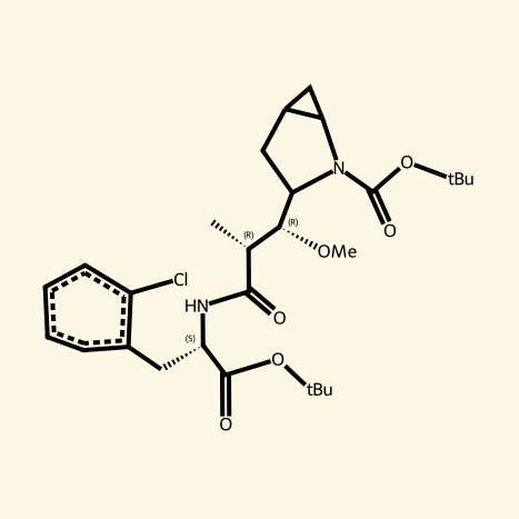 CO[C@@H](C1CC2CC2N1C(=O)OC(C)(C)C)[C@@H](C)C(=O)N[C@@H](Cc1ccccc1Cl)C(=O)OC(C)(C)C